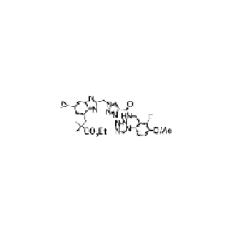 CCOC(=O)C(C)(C)CC1=CC(C2CC2)=CC2N=C(Cn3cc(C(=O)NCc4c(-n5cnnn5)ccc(OC)c4F)nn3)N=C12